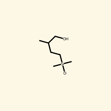 CC(CO)CC[Si](C)(C)[O]